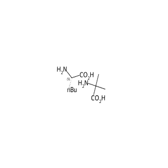 CC(C)(N)C(=O)O.CCCC[C@H](N)C(=O)O